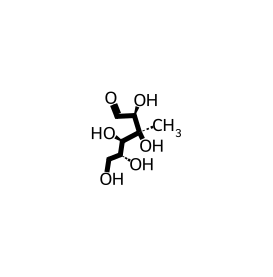 C[C@@](O)([C@H](O)C=O)[C@H](O)[C@H](O)CO